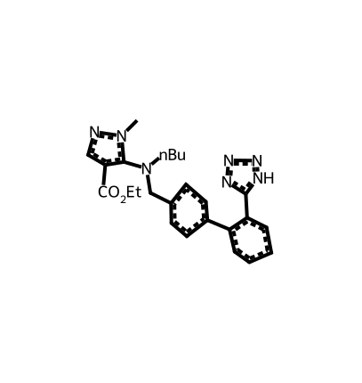 CCCCN(Cc1ccc(-c2ccccc2-c2nnn[nH]2)cc1)c1c(C(=O)OCC)cnn1C